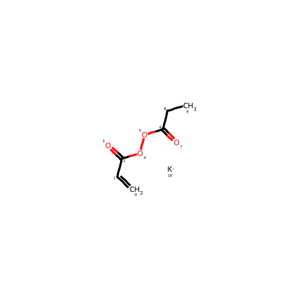 C=CC(=O)OOC(=O)CC.[K]